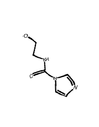 [O]CCNC(=O)n1ccnc1